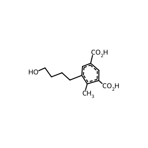 Cc1c(CCCCO)cc(C(=O)O)cc1C(=O)O